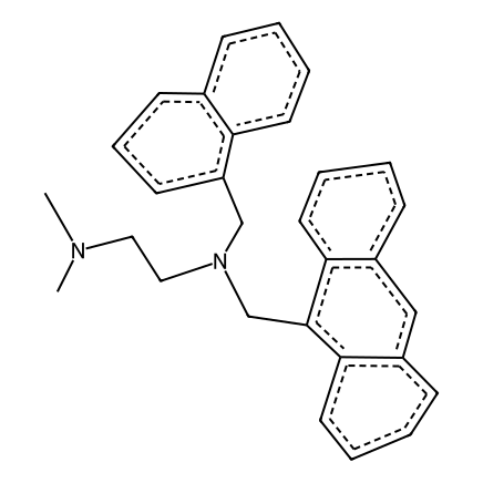 CN(C)CCN(Cc1cccc2ccccc12)Cc1c2ccccc2cc2ccccc12